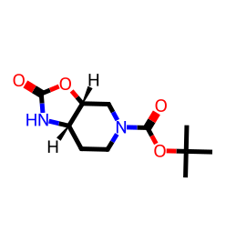 CC(C)(C)OC(=O)N1CC[C@@H]2NC(=O)O[C@@H]2C1